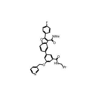 CNC(=O)c1c(-c2ccc(F)cc2)oc2ccc(-c3cc(OCc4cccnc4)cc(C(=O)NCC(C)C)c3)cc12